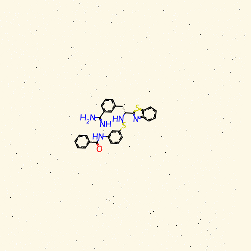 N=C(N)c1cccc(C[C@@H](NSc2cccc(NC(=O)c3ccccc3)c2)c2nc3ccccc3s2)c1